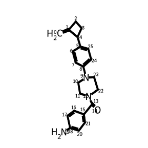 C=C1CCC1c1ccc(N2CCN(C(=O)c3ccc(N)cc3)CC2)cc1